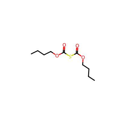 CCCCOC(=O)SC(=O)OCCCC